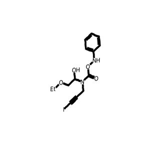 CCOCC(O)N(CC#CI)C(=O)ONc1ccccc1